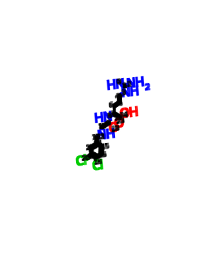 N=C(N)NCCC[C@H](NC(=O)CNCc1ccc(Cl)c(Cl)c1)C(=O)O